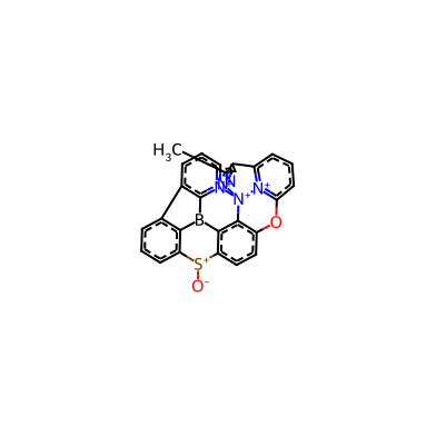 Cc1cc2n(n1)[N+]13c4c(ccc5c4B4c6c(cccc6[S+]5[O-])-c5ccc[n+]1c54)Oc1cccc-2[n+]13